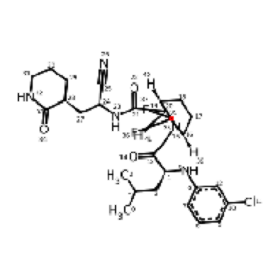 CC(C)C[C@H](Nc1cccc(Cl)c1)C(=O)N1[C@H]2CC[C@@H]([C@H]1C(=O)N[C@H](C#N)C[C@@H]1CCCNC1=O)C(F)(F)C2